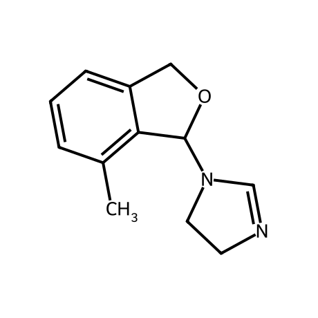 Cc1cccc2c1C(N1C=NCC1)OC2